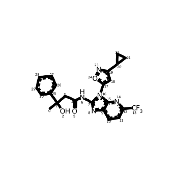 CC(O)(CC(=O)Nc1nc2ccc(C(F)(F)F)nc2n1-c1cc(C2CC2)no1)c1ccccc1